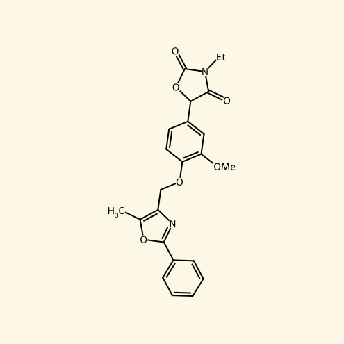 CCN1C(=O)OC(c2ccc(OCc3nc(-c4ccccc4)oc3C)c(OC)c2)C1=O